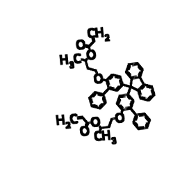 C=CC(=O)OC(C)CCOc1ccc(C2(c3ccc(OCCC(C)OC(=O)C=C)c(-c4ccccc4)c3)c3ccccc3-c3ccccc32)cc1-c1ccccc1